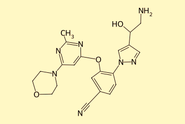 Cc1nc(Oc2cc(C#N)ccc2-n2cc(C(O)CN)cn2)cc(N2CCOCC2)n1